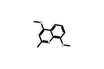 COc1cc(C)nc2c(OC)cccc12